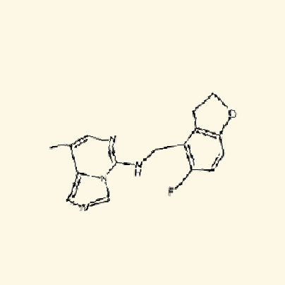 Cc1cnc(NCc2c(F)ccc3c2CCO3)n2cncc12